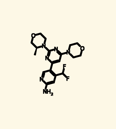 C[C@H]1COCCN1c1nc(-c2cnc(N)cc2C(F)F)cc(N2CCOCC2)n1